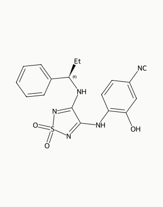 [C-]#[N+]c1ccc(NC2=NS(=O)(=O)N=C2N[C@H](CC)c2ccccc2)c(O)c1